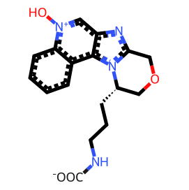 O=C([O-])NCCC[C@H]1COCc2nc3c[n+](O)c4ccccc4c3n21